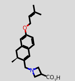 CC(C)=CCOc1ccc2c(c1)C[C@H](C)C(CN1CC(C(=O)O)C1)=C2